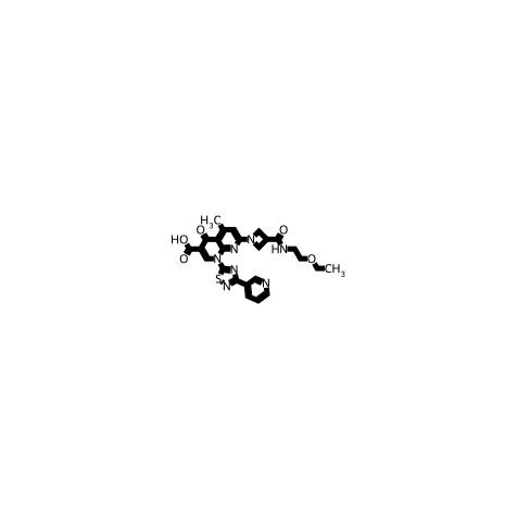 CCOCCNC(=O)C1CN(c2cc(C)c3c(=O)c(C(=O)O)cn(-c4nc(-c5cccnc5)ns4)c3n2)C1